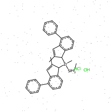 CC.CC1=Cc2c(-c3ccccc3)cccc2[CH]1[Zr]([CH3])([SiH3])[CH]1C(C)=Cc2c(-c3ccccc3)cccc21.Cl.Cl